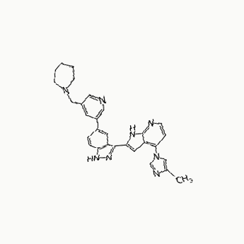 Cc1cn(-c2ccnc3[nH]c(-c4n[nH]c5ccc(-c6cncc(CN7CCCCC7)c6)cc45)cc23)cn1